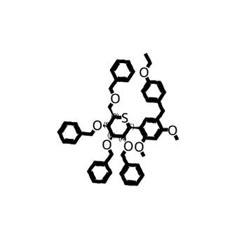 CCOc1ccc(Cc2cc([C@@H]3S[C@H](COCc4ccccc4)[C@@H](OCc4ccccc4)[C@H](OCc4ccccc4)[C@H]3OCc3ccccc3)c(OC)cc2OC)cc1